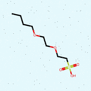 CCCCOCCOC[CH]S(=O)(=O)O